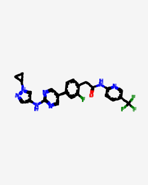 O=C(Cc1ccc(-c2cnc(Nc3cnn(C4CC4)c3)nc2)cc1F)Nc1ccc(C(F)(F)F)cn1